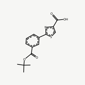 CC(C)(C)OC(=O)c1cccc(-c2nc(C(=O)O)cs2)c1